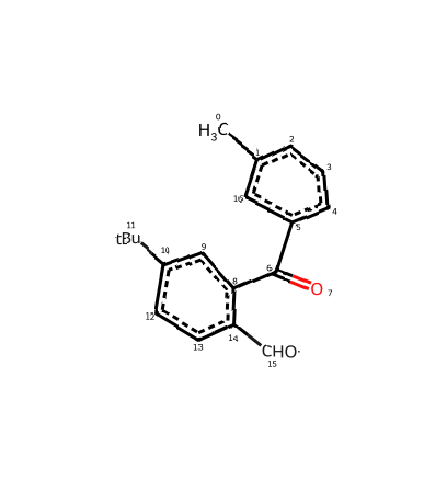 Cc1cccc(C(=O)c2cc(C(C)(C)C)ccc2[C]=O)c1